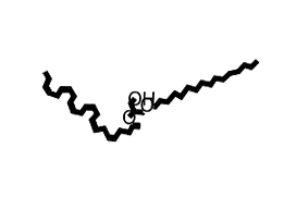 C=C(CC/C=C\C/C=C\C/C=C\C/C=C\C/C=C\C/C=C\CC)OC(CO)COCCCCCCCCCCCCCCCC